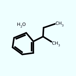 CC[C](C)c1ccccc1.O